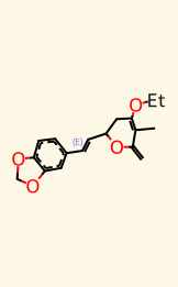 C=C1OC(/C=C/c2ccc3c(c2)OCO3)CC(OCC)=C1C